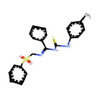 Cc1ccc(NC(=S)N/C(=N/CS(=O)(=O)c2ccccc2)c2ccccc2)cc1